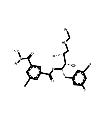 CCCN(CCC)C(=O)c1cc(C)cc(C(=O)N[C@@H](Cc2cc(F)cc(F)c2)[C@@H](O)[C@H](O)CNCC(C)C)c1